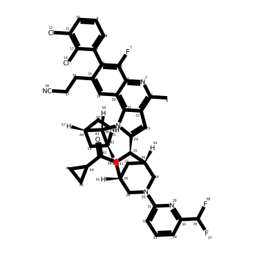 Cc1nc2c(F)c(-c3cccc(Cl)c3Cl)c(CCC#N)cc2c2c1cc([C@H]1[C@H]3C[C@H](CN(c4cccc(C(F)F)n4)C3)N1C(=O)C1CC1)n2[C@H]1[C@H]2CN[C@@H]1C2